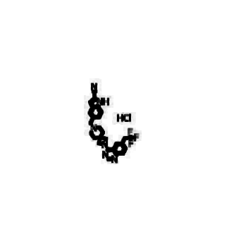 Cl.N#Cc1cc2cc(CN3CCC4(CC3)CN(c3ncnc5ccc(CC(F)(F)F)cc35)C4)ccc2[nH]1